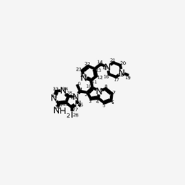 CC(c1cc2ccccn2c1-c1cc(CN2CCN(C)CC2)ccn1)n1nc(I)c2c(N)ncnc21